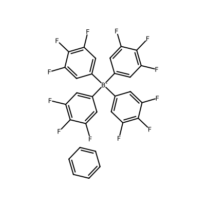 Fc1cc([B-](c2cc(F)c(F)c(F)c2)(c2cc(F)c(F)c(F)c2)c2cc(F)c(F)c(F)c2)cc(F)c1F.c1ccccc1